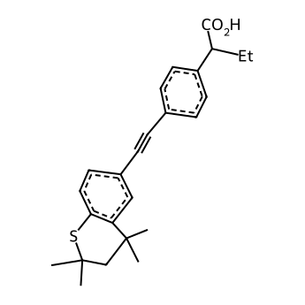 CCC(C(=O)O)c1ccc(C#Cc2ccc3c(c2)C(C)(C)CC(C)(C)S3)cc1